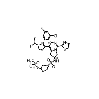 CS(=O)(=O)NC1CCN(S(=O)(=O)N[C@H]2CC3=C(c4ccn(C(F)F)n4)[C@H](c4ccc(F)cc4Cl)N=C(c4nccs4)N3C2)C1